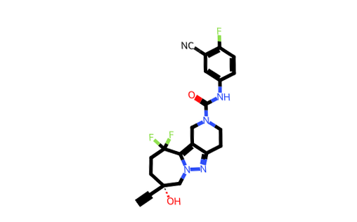 C#C[C@@]1(O)CCC(F)(F)c2c3c(nn2C1)CCN(C(=O)Nc1ccc(F)c(C#N)c1)C3